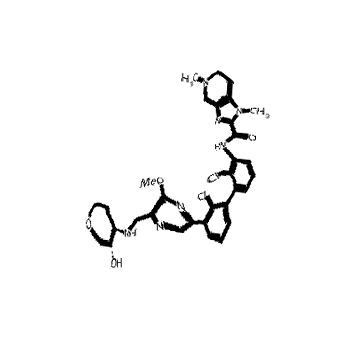 COc1nc(-c2cccc(-c3cccc(NC(=O)c4nc5c(n4C)CCN(C)C5)c3Cl)c2Cl)cnc1CN[C@@H]1CCOC[C@H]1O